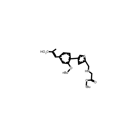 CCCCOc1cc(C=C(C)C(=O)O)ccc1-c1csc(CNCC(=O)OC(C)(C)C)c1